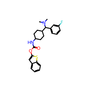 CN(C)C(c1cccc(F)c1)C1CCC(NC(=O)Oc2cc3ccccc3s2)CC1